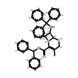 CC1=C(C(=O)OC(c2ccccc2)c2ccccc2)N2C(=O)C(NC(c3ccccc3)(c3ccccc3)c3ccccc3)C2SC1